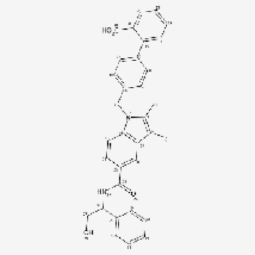 Cc1c(C)n(Cc2ccc(-c3ccccc3C(=O)O)cc2)c2ccc(C(=O)NC(CO)c3ccccc3)cc12